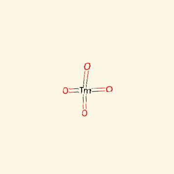 [O]=[Tm](=[O])(=[O])=[O]